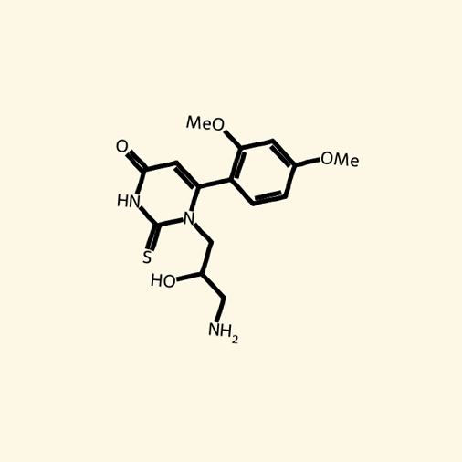 COc1ccc(-c2cc(=O)[nH]c(=S)n2CC(O)CN)c(OC)c1